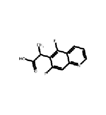 CC(C(=O)O)c1c(F)cc2ncccc2c1F